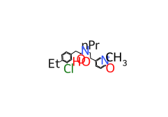 CCCN(CC(O)c1ccc(=O)n(C)c1)C(=O)Cc1ccc(CC)c(Cl)c1